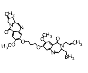 BCC1C=Nc2cc(OCCCOc3cc4c(cc3OC)C(=O)N3CC(=C)CC3C=N4)c(OC)cc2C(=O)N1CC=C